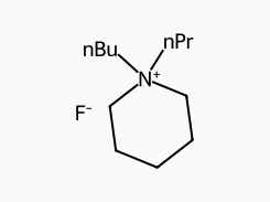 CCCC[N+]1(CCC)CCCCC1.[F-]